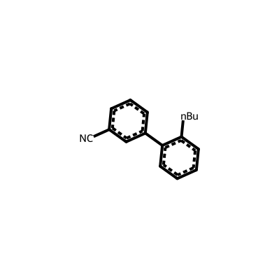 CCCCc1ccccc1-c1cccc(C#N)c1